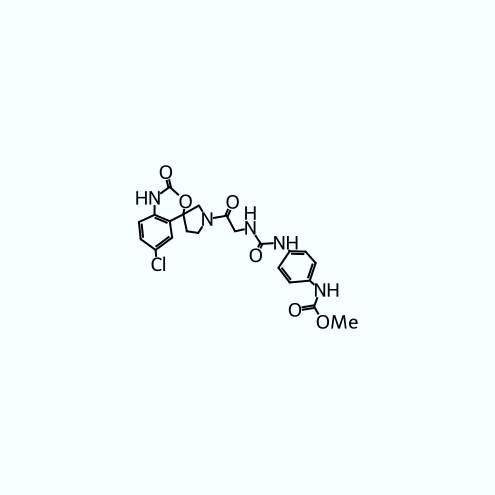 COC(=O)Nc1ccc(NC(=O)NCC(=O)N2CCC3(C2)OC(=O)Nc2ccc(Cl)cc23)cc1